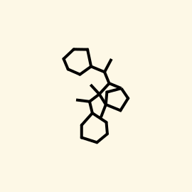 CC(C1CCCCC1)C1C2CCC(C)(C2)C1(C)C(C)C1CCCCC1